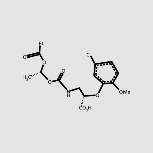 CCC(=O)O[C@@H](C)OC(=O)NC[C@H](Oc1cc(Cl)ccc1OC)C(=O)O